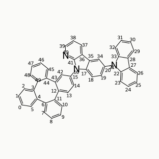 c1ccc2c(c1)-c1ccccc1-c1ccc(-n3c4ccc(-n5c6ccccc6c6ccccc65)cc4c4cccnc43)cc1-c1ccccc1-2